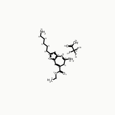 CCOC(=O)C1=Cc2sc(CCCCCN)cc2N=C(N)C1.O=C(O)C(F)(F)F